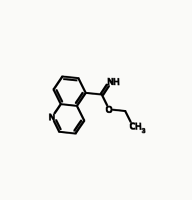 CCOC(=N)c1cccc2ncccc12